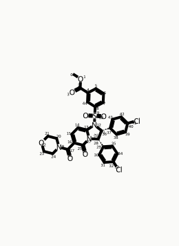 COC(=O)c1cccc(S(=O)(=O)N2c3ccc(C(=O)N4CCOCC4)c(=O)n3[C@@H](c3ccc(Cl)cc3)[C@H]2c2ccc(Cl)cc2)c1